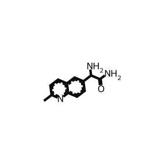 Cc1ccc2cc(C(N)C(N)=O)ccc2n1